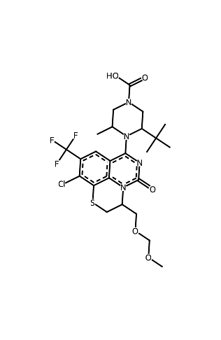 COCOCC1CSc2c(Cl)c(C(F)(F)F)cc3c(N4C(C)CN(C(=O)O)CC4C(C)(C)C)nc(=O)n1c23